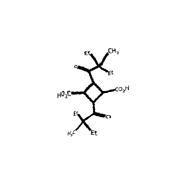 CCC(C)(CC)C(=O)C1C(C(=O)O)C(C(=O)C(C)(CC)CC)C1C(=O)O